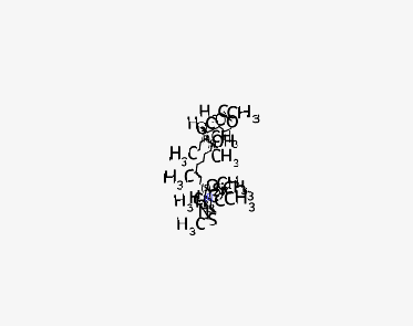 CCC[C@@H](C(=O)C(C)(C)C1CCOC(C)(C)O1)[C@@H](O)C(C)CCCC(C)=CC[C@H](O[Si](C)(C)C(C)(C)C)/C(C)=C/c1csc(C)n1